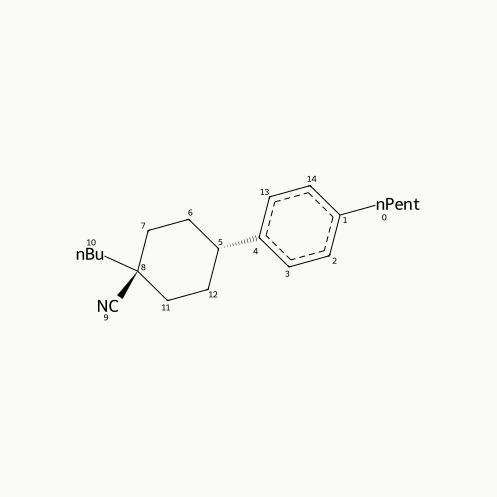 CCCCCc1ccc([C@H]2CC[C@@](C#N)(CCCC)CC2)cc1